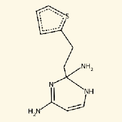 NC1=NC(N)(CCc2cccs2)NC=C1